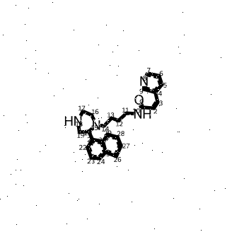 O=C(/C=C\c1cccnc1)NCCCCN1CCNCC1c1cccc2ccccc12